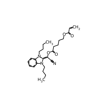 C=CC(=O)OCCCCC(=O)OC(C#N)=C1N(CCCC)c2ccccc2N1CCCC